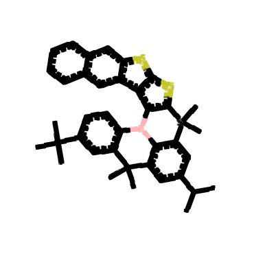 CC(C)c1cc2c3c(c1)[Si](C)(C)c1sc4sc5cc6ccccc6cc5c4c1B3c1ccc(C(C)(C)C)cc1C2(C)C